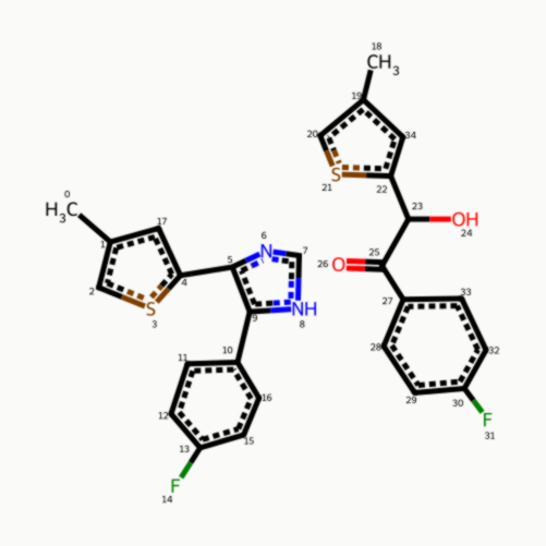 Cc1csc(-c2nc[nH]c2-c2ccc(F)cc2)c1.Cc1csc(C(O)C(=O)c2ccc(F)cc2)c1